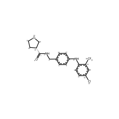 O=C(NCc1ccc(Nc2ccc(Cl)cc2C(F)(F)F)cc1)[C@@H]1CCOC1